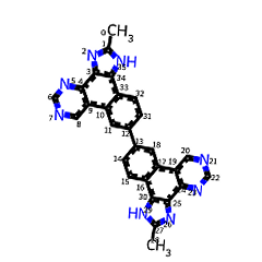 Cc1nc2c3ncncc3c3cc(-c4ccc5c(c4)c4cncnc4c4nc(C)[nH]c54)ccc3c2[nH]1